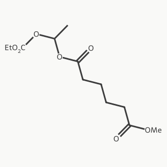 CCOC(=O)OC(C)OC(=O)CCCCC(=O)OC